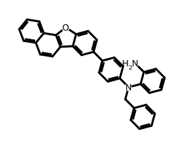 Nc1ccccc1N(Cc1ccccc1)c1ccc(-c2ccc3oc4c5ccccc5ccc4c3c2)cc1